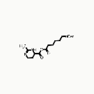 CCCCCCCCCCCCCCCC(=O)OC(=O)C1CCN=C(C)N1